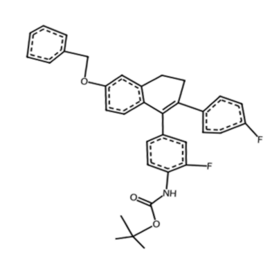 CC(C)(C)OC(=O)Nc1ccc(C2=C(c3ccc(F)cc3)CCc3cc(OCc4ccccc4)ccc32)cc1F